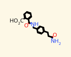 NC(=O)CCc1ccc(CNC(=O)c2ccccc2C(=O)O)cc1